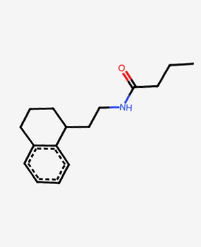 CCCC(=O)NCCC1CCCc2ccccc21